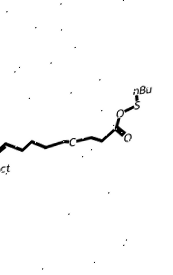 CCCCCCCC/C=C\CCCCCCCC(=O)OSCCCC